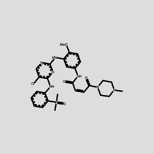 COc1ccc(NC(=O)/C=C\C(=O)N2CCN(C)CC2)cc1Nc1ncc(Cl)c(Nc2ccccc2P(C)(C)=O)n1